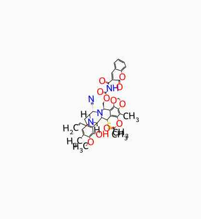 C=CCN1[C@H]2c3c(cc(C)c(OC)c3O)C[C@H]1[C@H](C#N)N1C2[C@H](SCC)c2c(OC(C)=O)c(C)c3c(c2[C@@H]1COC(=O)NC(=O)c1cc2ccccc2oc1=O)OCO3